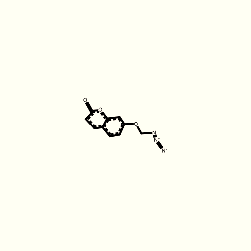 [N-]=[N+]=NCOc1ccc2ccc(=O)oc2c1